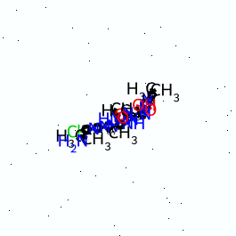 C=CC(=O)Nc1cc(Nc2nc(-c3ccnc(N4CCn5c(cc6c5CC(C)(C)C6)C4=O)c3CO)cn(C)c2=O)ccc1N1CCN(C2CCN(c3ccc(Cl)c(C(C)(C)N)c3)CC2)C[C@@H]1C